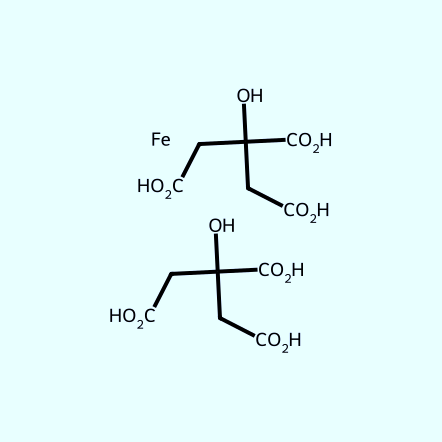 O=C(O)CC(O)(CC(=O)O)C(=O)O.O=C(O)CC(O)(CC(=O)O)C(=O)O.[Fe]